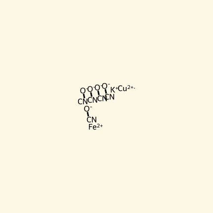 N#C[O-].N#C[O-].N#C[O-].N#C[O-].N#C[O-].[Cu+2].[Fe+2].[K+]